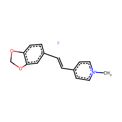 C[n+]1ccc(C=Cc2ccc3c(c2)OCO3)cc1.[I-]